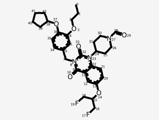 CCCOc1cc(Cn2c(=O)c3cc(OC(CF)CF)ccc3n(C3CCN(C=O)CC3)c2=O)ccc1OC1CCCC1